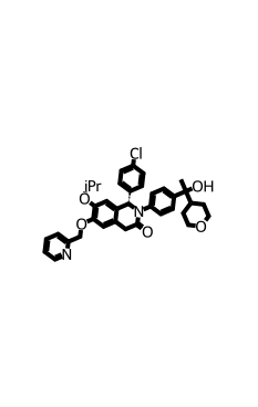 CC(C)Oc1cc2c(cc1OCc1ccccn1)CC(=O)N(c1ccc(C(C)(O)C3CCOCC3)cc1)[C@H]2c1ccc(Cl)cc1